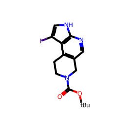 CC(C)(C)OC(=O)N1CCc2c(cnc3[nH]cc(I)c23)C1